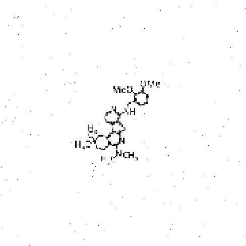 COc1cccc(CNc2ncnc3c2sc2nc(N(C)C)c4c(c23)CC(C)(C)CC4)c1OC